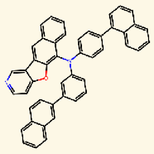 c1cc(-c2ccc3ccccc3c2)cc(N(c2ccc(-c3cccc4ccccc34)cc2)c2c3ccccc3cc3c2oc2ccncc23)c1